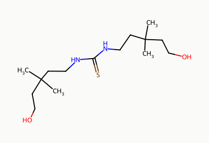 CC(C)(CCO)CCNC(=S)NCCC(C)(C)CCO